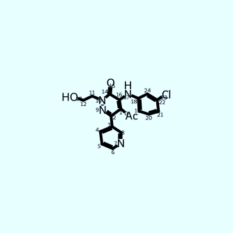 CC(=O)c1c(-c2cccnc2)nn(CCO)c(=O)c1Nc1cccc(Cl)c1